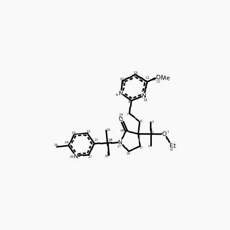 CCOC(C)(C)C1(CCc2nccc(OC)n2)CCN(C(C)(C)c2ccc(C)nc2)C1=O